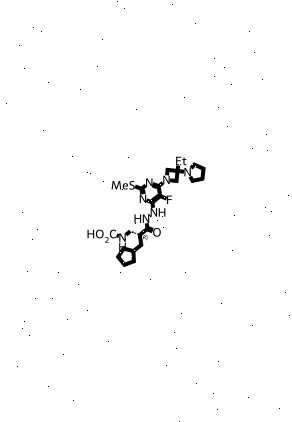 CCC1(N2CCCC2)CN(c2nc(SC)nc(NNC(=O)[C@@H](CNC(=O)O)CC3CCCC3)c2F)C1